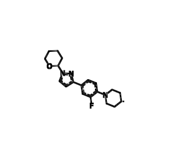 Fc1cc(-c2ccn(C3CCCCO3)n2)ccc1N1CC[CH]CC1